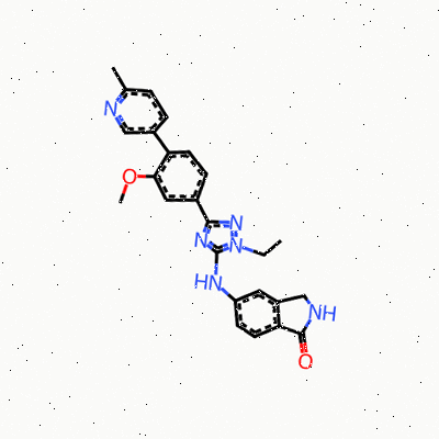 CCn1nc(-c2ccc(-c3ccc(C)nc3)c(OC)c2)nc1Nc1ccc2c(c1)CNC2=O